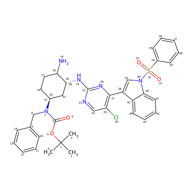 CC(C)(C)OC(=O)N(Cc1ccccc1)[C@H]1CCC(N)[C@H](Nc2ncc(Cl)c(-c3cn(S(=O)(=O)c4ccccc4)c4ccccc34)n2)C1